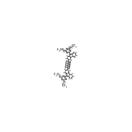 FC(F)(F)COc1nc(OCC(F)(F)F)nc(-n2c3ccccc3c3cc(C(F)(F)C(F)(F)C(F)(F)C(F)(F)c4ccc5c(c4)c4ccccc4n5-c4nc(OCC(F)(F)F)nc(OCC(F)(F)F)n4)ccc32)n1